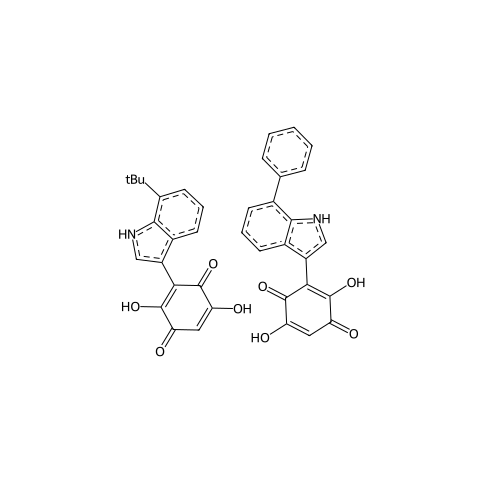 CC(C)(C)c1cccc2c(C3=C(O)C(=O)C=C(O)C3=O)c[nH]c12.O=C1C=C(O)C(=O)C(c2c[nH]c3c(-c4ccccc4)cccc23)=C1O